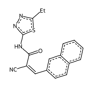 CCc1nnc(NC(=O)C(C#N)=Cc2ccc3ccccc3c2)s1